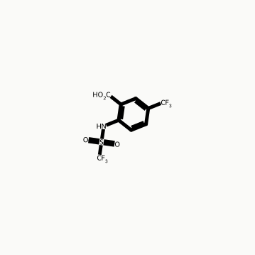 O=C(O)c1cc(C(F)(F)F)ccc1NS(=O)(=O)C(F)(F)F